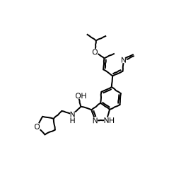 C=N/C=C(\C=C(/C)OC(C)C)c1ccc2[nH]nc(C(O)NCC3CCOC3)c2c1